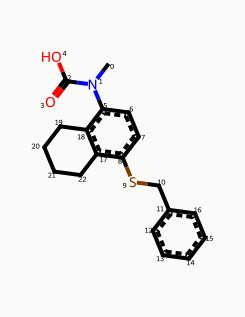 CN(C(=O)O)c1ccc(SCc2ccccc2)c2c1CCCC2